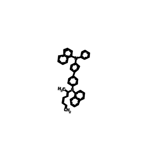 C=C/C=C\C=C(/C)N(c1ccc(-c2ccc(N(c3ccccc3)c3cc#cc4ccccc34)cc2)cc1)c1cccc2ccccc12